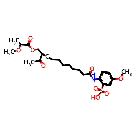 COc1ccc(NC(=O)CCCCCCCCC(COC(=O)C(C)OC)C(C)=O)c(S(=O)(=O)O)c1